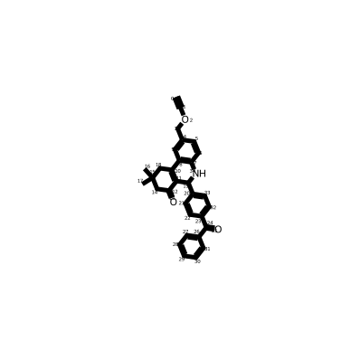 C#COCc1ccc2c(c1)C1=C(C(=O)CC(C)(C)C1)C(c1ccc(C(=O)c3ccccc3)cc1)N2